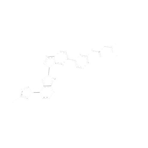 Cc1cn(-c2ccnc3[nH]c(-c4n[nH]c5ccc(-c6cncc(NC(=O)CN(C)C)c6)nc45)cc23)cn1